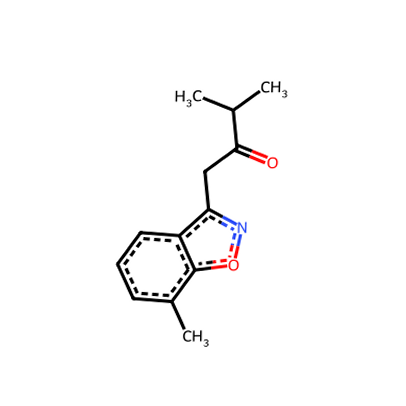 Cc1cccc2c(CC(=O)C(C)C)noc12